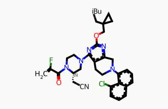 C=C(F)C(=O)N1CCN(c2nc(OCC3(CC(C)CC)CC3)nc3c2CCN(c2cccc4cccc(Cl)c24)C3)C[C@@H]1CC#N